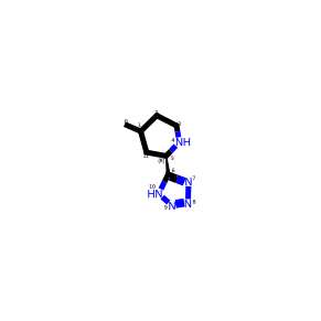 CC1CCN[C@@H](c2nnn[nH]2)C1